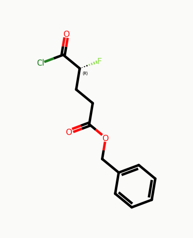 O=C(CC[C@@H](F)C(=O)Cl)OCc1ccccc1